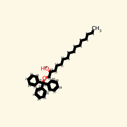 CCCCCCCCCCCCCCC(O)COC(c1ccccc1)(c1ccccc1)c1ccccc1